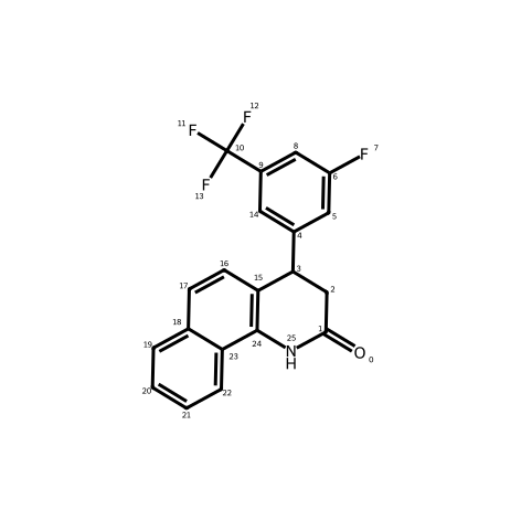 O=C1CC(c2cc(F)cc(C(F)(F)F)c2)c2ccc3ccccc3c2N1